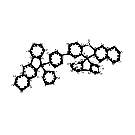 c1ccc(C2(c3ccc(-c4ccc5c(c4)C4(c6cc7ccccc7cc6O5)c5ccccc5-c5ccccc54)cc3)c3ccccc3-c3cc4ccccc4cc32)cc1